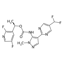 C[C@@H](OC(=O)Nc1c(-c2ncc(C(F)F)cn2)cnn1C)c1cc(F)cnc1F